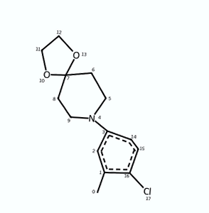 Cc1cc(N2CCC3(CC2)OCCO3)ccc1Cl